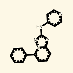 c1ccc(-c2cccc3nc(Nc4ccncc4)nn23)cc1